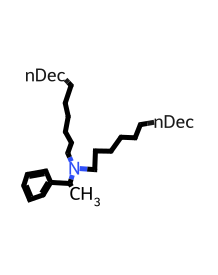 CCCCCCCCCCCCCCCCN(CCCCCCCCCCCCCCCC)C(C)c1ccccc1